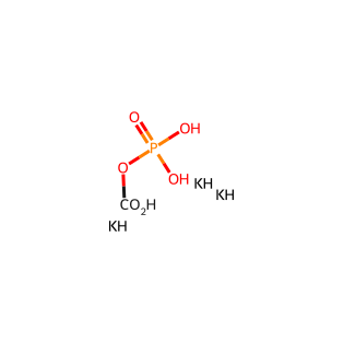 O=C(O)OP(=O)(O)O.[KH].[KH].[KH]